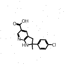 CC1(c2ccc(Cl)cc2)Cc2cc(C(=O)O)cnc2N1